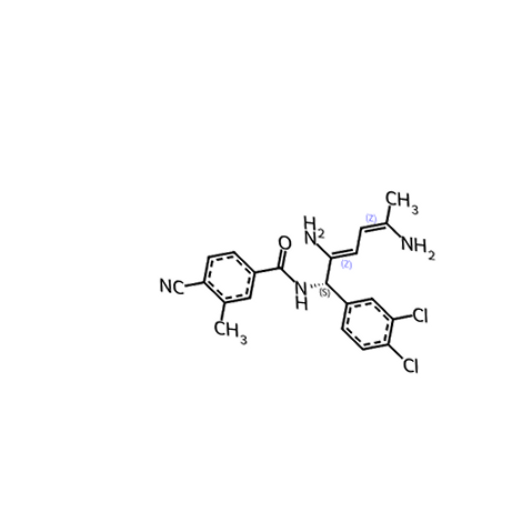 C/C(N)=C/C=C(\N)[C@@H](NC(=O)c1ccc(C#N)c(C)c1)c1ccc(Cl)c(Cl)c1